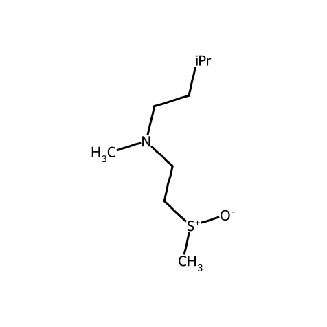 CC(C)CCN(C)CC[S+](C)[O-]